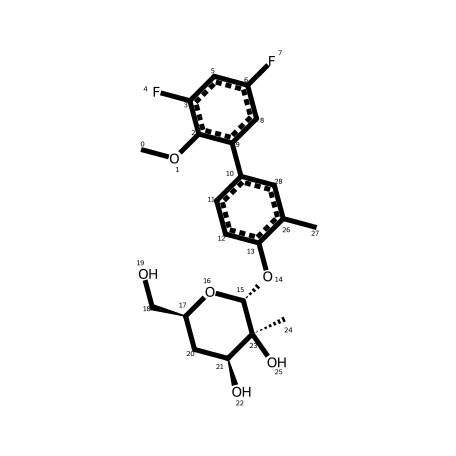 COc1c(F)cc(F)cc1-c1ccc(O[C@H]2O[C@H](CO)C[C@H](O)[C@]2(C)O)c(C)c1